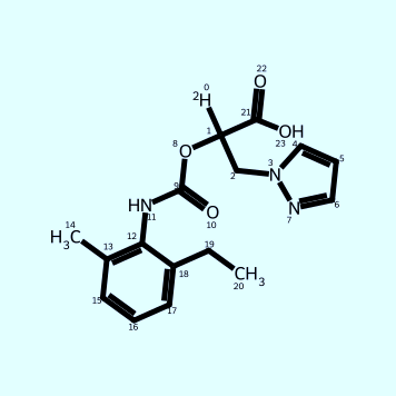 [2H]C(Cn1cccn1)(OC(=O)Nc1c(C)cccc1CC)C(=O)O